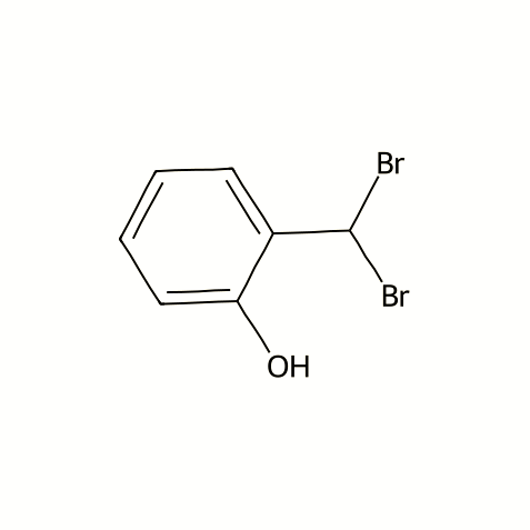 Oc1ccccc1C(Br)Br